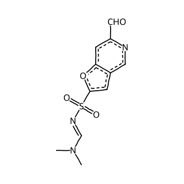 CN(C)C=NS(=O)(=O)c1cc2cnc(C=O)cc2o1